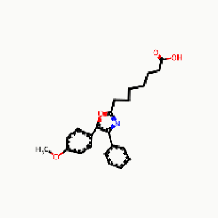 COc1ccc(-c2oc(CCCCCCC(=O)O)nc2-c2ccccc2)cc1